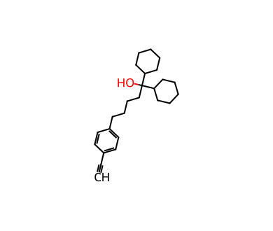 C#Cc1ccc(CCCCC(O)(C2CCCCC2)C2CCCCC2)cc1